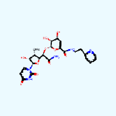 CO[C@H]1[C@@H](O)[C@H](n2ccc(=O)[nH]c2=O)O[C@@H]1[C@@H](O[C@H]1OC(C(=O)NCCc2ccccn2)=C[C@H](O)[C@@H]1O)C(N)=O